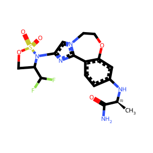 C[C@H](Nc1ccc2c(c1)OCCn1cc(N3C(C(F)F)COS3(=O)=O)nc1-2)C(N)=O